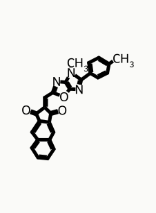 Cc1ccc(-c2nc3oc(C=C4C(=O)c5cc6ccccc6cc5C4=O)nc3n2C)cc1